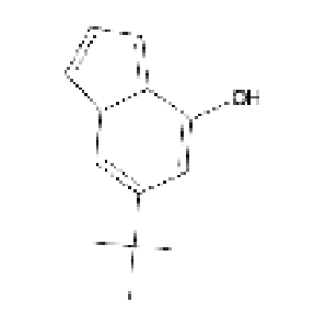 CC(C)(C)C1=CC2C=CC=C2C(O)=C1